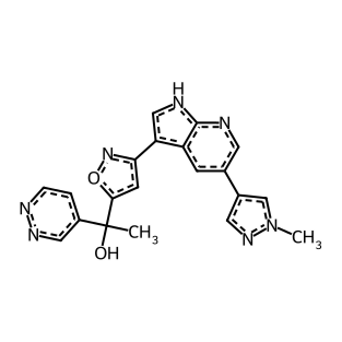 Cn1cc(-c2cnc3[nH]cc(-c4cc(C(C)(O)c5ccnnc5)on4)c3c2)cn1